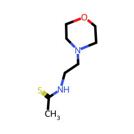 CC(=S)NCCN1CCOCC1